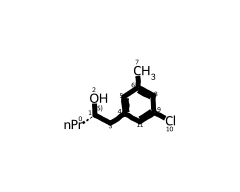 CCC[C@H](O)Cc1cc(C)cc(Cl)c1